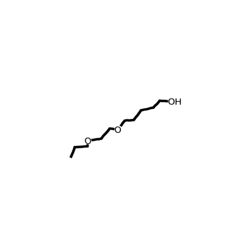 CCCOCCOCCCCCO